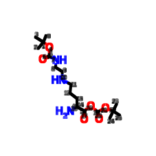 CC(C)(C)OC(=O)NCCNCCC[C@H](N)C(=O)OC(=O)OC(C)(C)C